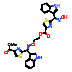 COC(=O)c1csc(/C(=N/OCCOC(=O)c2csc(/C(=N/O)c3c[nH]c4ccccc34)n2)c2c[nH]c3ccccc23)n1